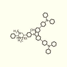 CCC1(C)NC(c2ccccc2)N(C)CC1c1ccc(-n2c3ccc(-c4ccc(N(c5ccccc5)c5ccccc5)cc4)cc3c3cc(-c4ccc(N(c5ccccc5)c5ccccc5)cc4)ccc32)c(C)c1